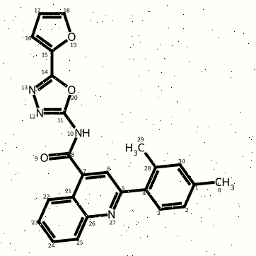 Cc1ccc(-c2cc(C(=O)Nc3nnc(-c4ccco4)o3)c3ccccc3n2)c(C)c1